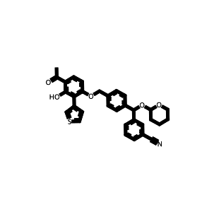 CC(=O)c1ccc(OCc2ccc(C(OC3CCCCO3)c3cccc(C#N)c3)cc2)c(-c2ccsc2)c1O